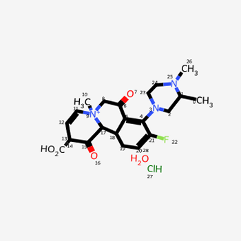 CC1CN(C2=C3C(=O)C[N+]4(C)C=CC(C(=O)O)C(=O)C4C3CC=C2F)CCN1C.Cl.O